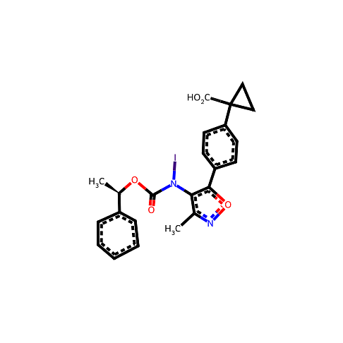 Cc1noc(-c2ccc(C3(C(=O)O)CC3)cc2)c1N(I)C(=O)O[C@H](C)c1ccccc1